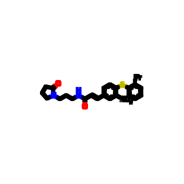 CC(C)c1ccccc1Sc1ccc(C=CC(=O)NCCCN2CCCC2=O)cc1[N+](=O)[O-]